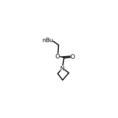 CCCCCOC(=O)N1CCC1